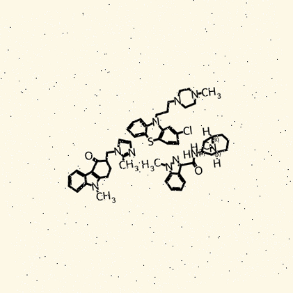 CN1CCN(CCCN2c3ccccc3Sc3ccc(Cl)cc32)CC1.CN1[C@@H]2CCC[C@H]1C[C@@H](NC(=O)c1nn(C)c3ccccc13)C2.Cc1nccn1CC1CCc2c(c3ccccc3n2C)C1=O